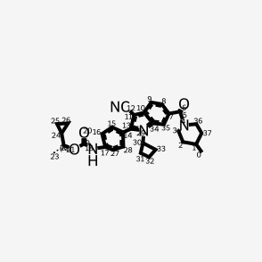 CC1CCN(C(=O)c2ccc3c(C#N)c(-c4ccc(NC(=O)O[C@H](C)C5CC5)cc4)n(C4CCC4)c3c2)CC1